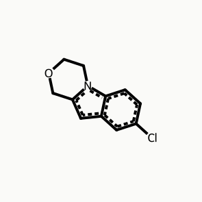 Clc1ccc2c(c1)cc1n2CCOC1